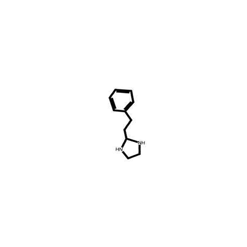 c1ccc(CCC2NCCN2)cc1